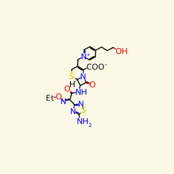 CCO/N=C(\C(=O)NC1C(=O)N2C(C(=O)[O-])=C(C[n+]3ccc(CCCO)cc3)CS[C@H]12)c1nsc(N)n1